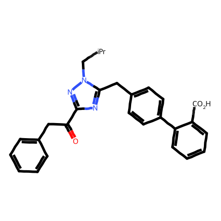 CC(C)Cn1nc(C(=O)Cc2ccccc2)nc1Cc1ccc(-c2ccccc2C(=O)O)cc1